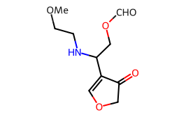 COCCNC(COC=O)C1=COCC1=O